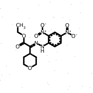 CCOC(=O)/C(=N/Nc1ccc([N+](=O)[O-])cc1[N+](=O)[O-])C1CCOCC1